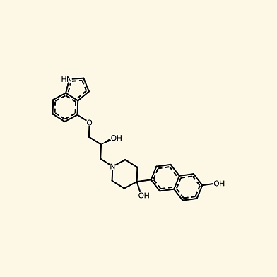 Oc1ccc2cc(C3(O)CCN(C[C@H](O)COc4cccc5[nH]ccc45)CC3)ccc2c1